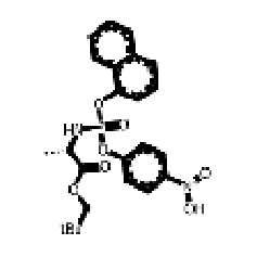 C[C@H](N[P@@](=O)(Oc1ccc([N+](=O)O)cc1)Oc1cccc2ccccc12)C(=O)OCC(C)(C)C